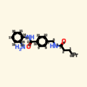 CC(C)CCC(=O)NCc1ccc(C(=O)Nc2ccccc2N)cc1